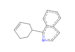 C1=CCC(c2nccc3ccccc23)CC1